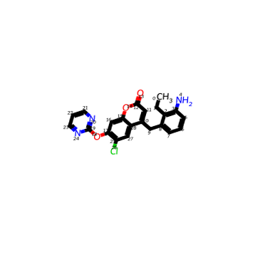 CCc1c(N)cccc1Cc1cc(=O)oc2cc(Oc3ncccn3)c(Cl)cc12